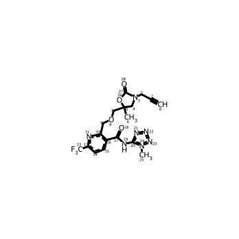 C#CCN1CC(C)(COCc2nc(C(F)(F)F)ccc2C(=O)Nc2nnnn2C)OC1=O